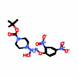 CC(C)(C)OC(=O)N1CCN(/[N+](O)=N/Oc2ccc([N+](=O)[O-])cc2[N+](=O)[O-])CC1